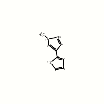 Cn1cc(-c2cccs2)cn1